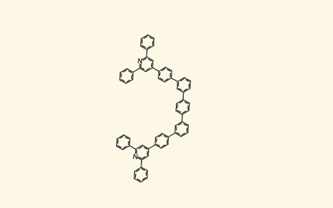 c1ccc(-c2cc(-c3ccc(-c4cccc(-c5ccc(-c6cccc(-c7ccc(-c8cc(-c9ccccc9)nc(-c9ccccc9)c8)cc7)c6)cc5)c4)cc3)cc(-c3ccccc3)n2)cc1